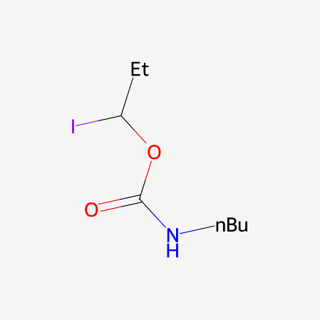 CCCCNC(=O)OC(I)CC